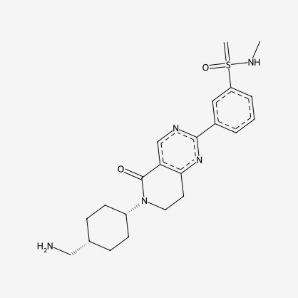 C=S(=O)(NC)c1cccc(-c2ncc3c(n2)CCN([C@H]2CC[C@@H](CN)CC2)C3=O)c1